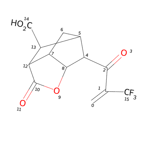 C=C(C(=O)C1C2CC3C1OC(=O)C3C2C(=O)O)C(F)(F)F